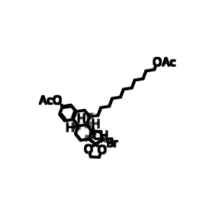 CC(=O)OCCCCCCCCCCC[C@@H]1Cc2cc(OC(C)=O)ccc2[C@H]2CC[C@@]3(C)[C@@H](C[C@H](Br)C34OCCO4)[C@H]12